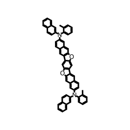 Cc1ccccc1N(c1ccc2ccccc2c1)c1ccc2cc3c(cc2c1)oc1cc2c(cc13)oc1cc3cc(N(c4ccc5ccccc5c4)c4ccccc4C)ccc3cc12